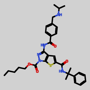 CCCCCOC(=O)n1nc(NC(=O)c2ccc(CNC(C)C)cc2)c2cc(C(=O)NC(C)(C)c3ccccc3)sc21